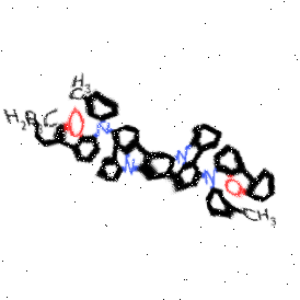 C=C/C=C\c1c(C)oc2c(N(c3cccc(C)c3)c3ccc4c5cc6c(cc5n5c7ccccc7c3c45)c3ccc(N(c4cccc(C)c4)c4cccc5c4oc4ccccc45)c4c5ccccc5n6c34)cccc12